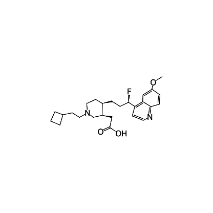 COc1ccc2nccc([C@H](F)CC[C@@H]3CCN(CCC4CCC4)C[C@@H]3CC(=O)O)c2c1